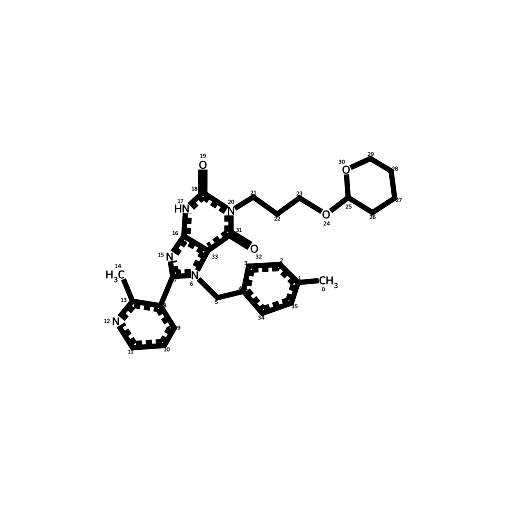 Cc1ccc(Cn2c(-c3cccnc3C)nc3[nH]c(=O)n(CCCOC4CCCCO4)c(=O)c32)cc1